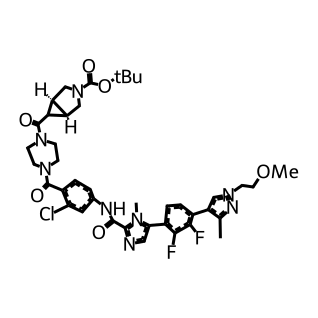 COCCn1cc(-c2ccc(-c3cnc(C(=O)Nc4ccc(C(=O)N5CCN(C(=O)C6[C@H]7CN(C(=O)OC(C)(C)C)C[C@@H]67)CC5)c(Cl)c4)n3C)c(F)c2F)c(C)n1